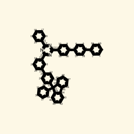 c1ccc(-c2ccc(-c3ccc(-c4nc(-c5ccccc5)nc(-c5cccc(-c6ccc(C7(c8ccccc8)c8ccccc8-c8ccccc87)cc6)c5)n4)cc3)cc2)cc1